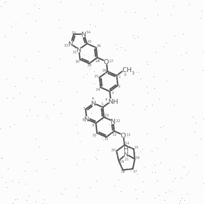 Cc1cc(Nc2ncnc3ccc(OC4CC5CCC(C4)N5)nc23)ccc1Oc1ccn2ncnc2c1